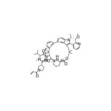 C=CC(=O)N1CC[C@H](C(=O)N(C)C(C(=O)N[C@@H]2C(=O)N3CCC[C@H](N3)C(=O)OCC(C)(C)Cc3c(-c4cccnc4[C@H](C)OC)n(CC)c4ccc(cc34)-c3cccc(c3)C2(F)F)C(C)C)C1